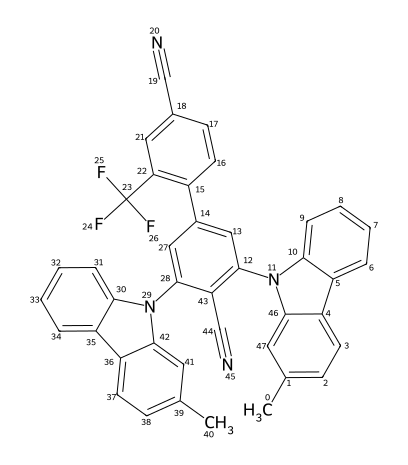 Cc1ccc2c3ccccc3n(-c3cc(-c4ccc(C#N)cc4C(F)(F)F)cc(-n4c5ccccc5c5ccc(C)cc54)c3C#N)c2c1